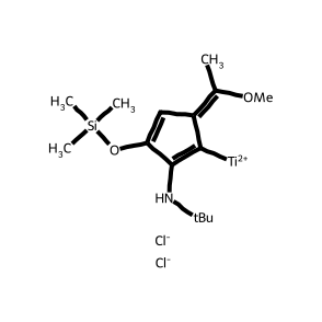 COC(C)=C1C=C(O[Si](C)(C)C)C(NC(C)(C)C)=[C]1[Ti+2].[Cl-].[Cl-]